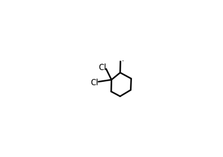 [CH2]C1CCCCC1(Cl)Cl